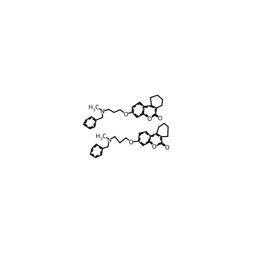 CN(CCCOc1ccc2c3c(c(=O)oc2c1)CCCC3)Cc1ccccc1.CN(CCCOc1ccc2c3c(c(=O)oc2c1)CCCC3)Cc1ccccc1